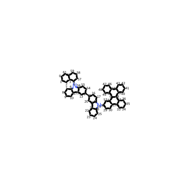 c1ccc2c(-n3c4ccccc4c4cc(-c5ccc6c(c5)c5ccccc5n6-c5ccc6c7ccccc7c7c8ccccc8c8ccccc8c7c6c5)ccc43)cccc2c1